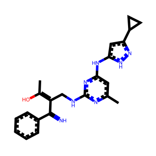 C/C(O)=C(\CNc1nc(C)cc(Nc2cc(C3CC3)n[nH]2)n1)C(=N)c1ccccc1